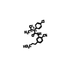 C[C@H]([C@H](C(=O)Nc1cc(CCC(=O)O)ccc1C#N)C1C=CC(Cl)=CC1)C(F)(F)F